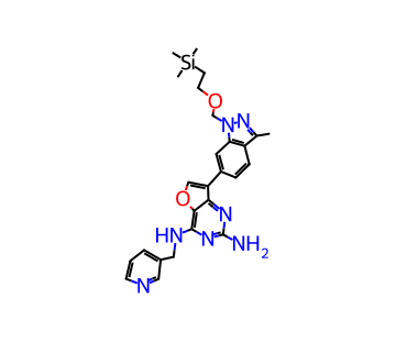 Cc1nn(COCC[Si](C)(C)C)c2cc(-c3coc4c(NCc5cccnc5)nc(N)nc34)ccc12